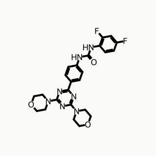 O=C(Nc1ccc(-c2nc(N3CCOCC3)nc(N3CCOCC3)n2)cc1)Nc1ccc(F)cc1F